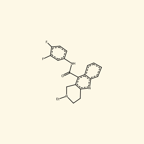 CCN1CCc2nc3ccccc3c(C(=O)Nc3ccc(F)c(F)c3)c2C1